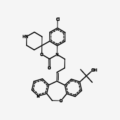 CC(C)(O)c1ccc2c(c1)C(=CCCN1C(=O)OC3(CCNCC3)c3cc(Cl)ccc31)c1cccnc1CO2